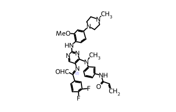 C=CC(=O)Nc1cccc(N(C)c2nc(Nc3ccc(N4CCN(C)CC4)cc3OC)ncc2/N=C(\C=O)c2ccc(F)c(F)c2)c1